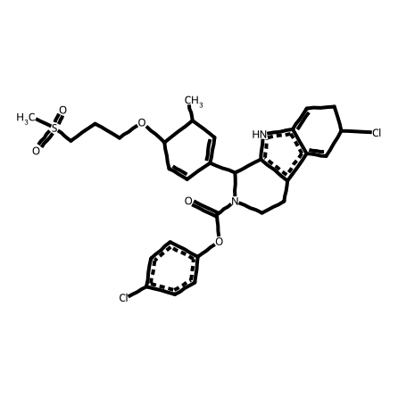 CC1C=C(C2c3[nH]c4c(c3CCN2C(=O)Oc2ccc(Cl)cc2)=CC(Cl)CC=4)C=CC1OCCCS(C)(=O)=O